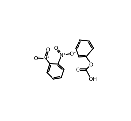 O=C(O)Oc1ccccc1.O=[N+]([O-])c1ccccc1[N+](=O)[O-]